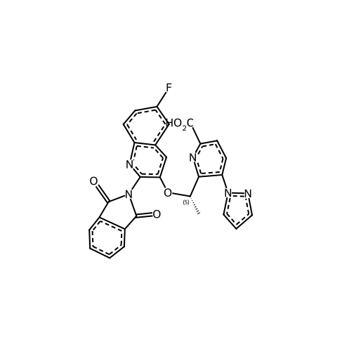 C[C@H](Oc1cc2cc(F)ccc2nc1N1C(=O)c2ccccc2C1=O)c1nc(C(=O)O)ccc1-n1cccn1